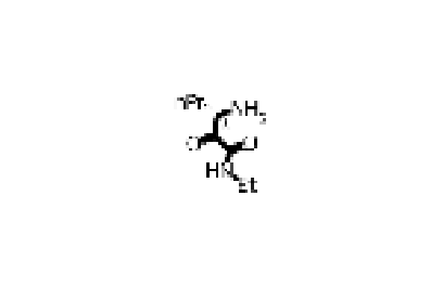 CCC[C@H](N)C(=O)C(=O)NCC